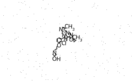 Cc1cnc(Cn2c(-c3cccc(OCCCN4CC(O)C4)c3Cl)nc3c(OC4(C)CC4)ncnc32)s1